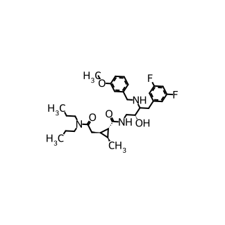 CCCN(CCC)C(=O)C[C@@H]1[C@H](C)[C@H]1C(=O)NC[C@@H](O)C(Cc1cc(F)cc(F)c1)NCc1cccc(OC)c1